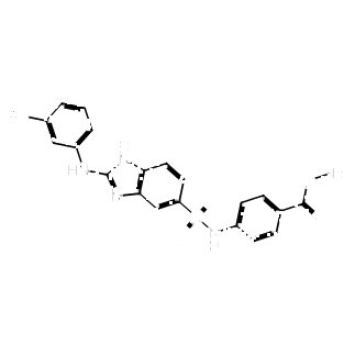 CC(=O)c1cccc(Nc2nc3cc(S(=O)(=O)Nc4ccc(C(=O)OC(C)C)cc4)ccc3[nH]2)c1